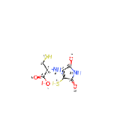 N[C@@H](CS)C(=O)O.O=C1C=C(S)C(=O)N1